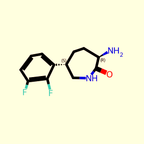 N[C@@H]1CC[C@@H](c2cccc(F)c2F)CNC1=O